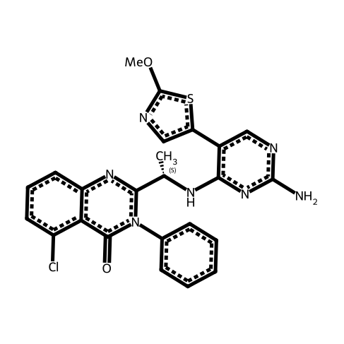 COc1ncc(-c2cnc(N)nc2N[C@@H](C)c2nc3cccc(Cl)c3c(=O)n2-c2ccccc2)s1